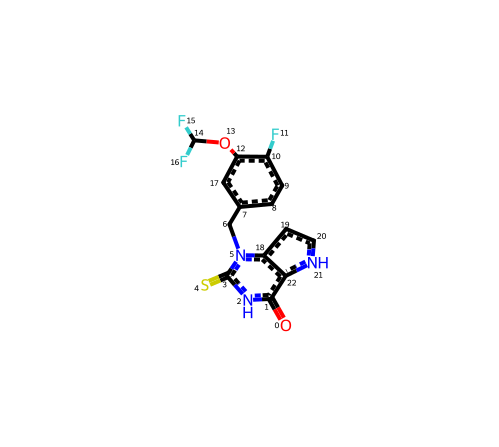 O=c1[nH]c(=S)n(Cc2ccc(F)c(OC(F)F)c2)c2cc[nH]c12